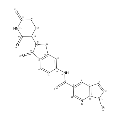 CC(C)n1ccc2cc(C(=O)Nc3ccc4c(c3)CN(C3CCC(=O)NC3=O)C4=O)cnc21